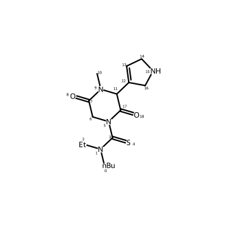 CCCCN(CC)C(=S)N1CC(=O)N(C)C(C2=CCNC2)C1=O